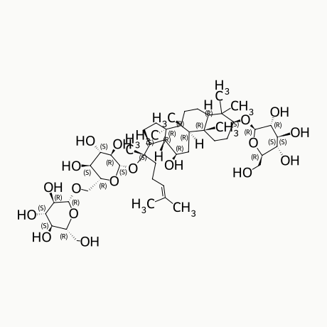 CC(C)=CCC[C@](C)(O[C@@H]1O[C@H](CO[C@@H]2O[C@H](CO)[C@@H](O)[C@H](O)[C@H]2O)[C@@H](O)[C@H](O)[C@H]1O)[C@H]1CC[C@]2(C)[C@@H]1[C@H](O)C[C@@H]1[C@@]3(C)CC[C@H](O[C@@H]4O[C@H](CO)[C@@H](O)[C@H](O)[C@H]4O)C(C)(C)[C@@H]3CC[C@]12C